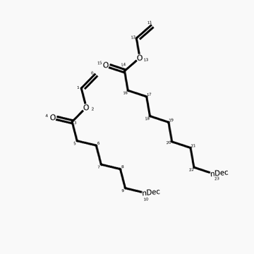 C=COC(=O)CCCCCCCCCCCCCCC.C=COC(=O)CCCCCCCCCCCCCCCCC